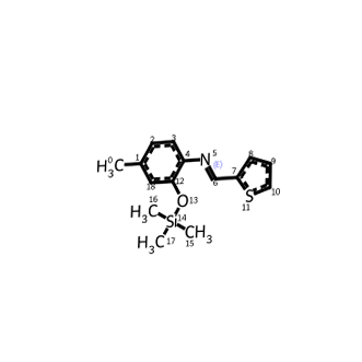 Cc1ccc(/N=C/c2cccs2)c(O[Si](C)(C)C)c1